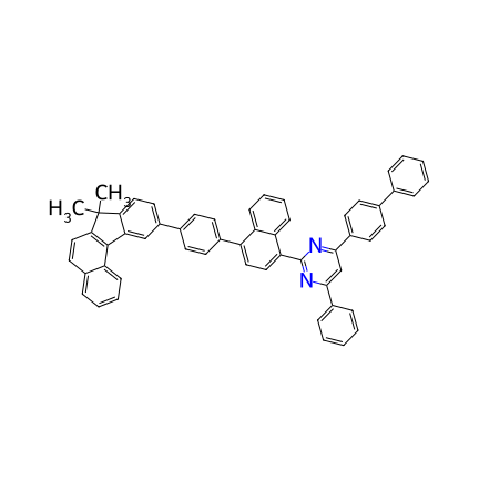 CC1(C)c2ccc(-c3ccc(-c4ccc(-c5nc(-c6ccccc6)cc(-c6ccc(-c7ccccc7)cc6)n5)c5ccccc45)cc3)cc2-c2c1ccc1ccccc21